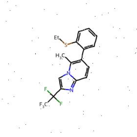 CCSc1ccccc1-c1ccc2nc(C(F)(F)C(F)(F)F)cn2c1C